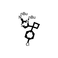 CCCC/N=c1/scc(C2(c3ccc(Cl)cc3)CCC2)n1CCCC